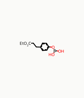 CCOC(=O)CCc1ccc(OB(O)O)cc1